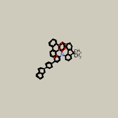 CC1(C)c2ccccc2-c2c(N(c3ccc(-c4ccc(-c5ccc6ccccc6c5)cc4)cc3)c3ccccc3-c3ccccc3-c3ccccc3-c3ccccc3)cccc21